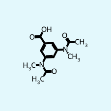 CC(=O)N(C)c1cc(C(=O)O)cc(N(C)C(C)=O)c1